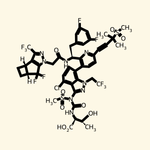 C[C@@H](O)[C@H](NC(=O)N(c1nn(CC(F)(F)F)c2c(-c3ccc(C#CC(C)(C)S(C)(=O)=O)nc3[C@H](Cc3cc(F)cc(F)c3)NC(=O)Cn3nc(C(F)(F)F)c4c3C(F)(F)[C@@H]3CC[C@H]43)ccc(Cl)c12)S(C)(=O)=O)C(=O)O